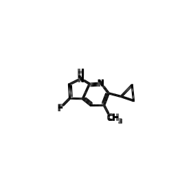 Cc1cc2c(F)c[nH]c2nc1C1CC1